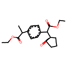 CCOC(=O)C(C)c1ccc(C(C(=O)OCC)C2CCCC2=O)cc1